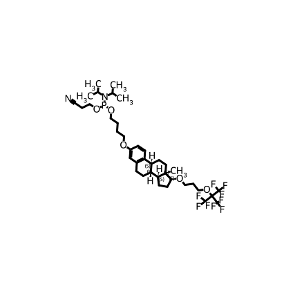 CC(C)N(C(C)C)P(OCCC#N)OCCCCOc1ccc2c(c1)CC[C@@H]1[C@@H]2CC[C@]2(C)[C@@H](OCCCOC(C(F)(F)F)(C(F)(F)F)C(F)(F)F)CC[C@@H]12